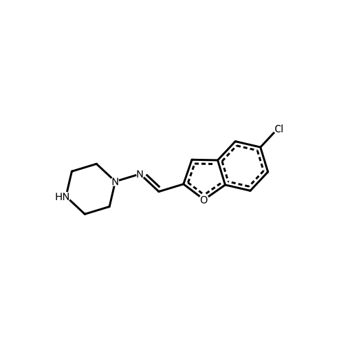 Clc1ccc2oc(C=NN3CCNCC3)cc2c1